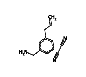 C=CCc1cccc(CN)c1.N#CC#N